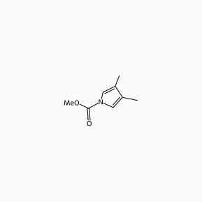 COC(=O)n1cc(C)c(C)c1